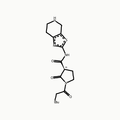 CC(C)(C)CC(=O)N1CC[C@H](C(=O)Nc2nc3c(s2)CNCC3)C1=O